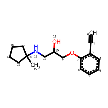 C#Cc1ccccc1OCC(O)CNC1(C)CCCC1